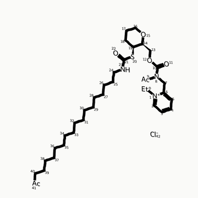 CC[n+]1ccccc1CN(C(C)=O)C(=O)OC[C@@H]1OCCC[C@@H]1SC(=O)NCCCCCCCCCCCCCCCCCC(C)=O.[Cl-]